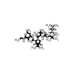 CCCC(NC(=O)[C@@H]1[C@@H]2[C@H](CN1C(=O)[C@@H](NC(=O)N[C@H](CN(C)S(=O)(=O)N(C)C)C(C)(C)C)C(C)(C)C)C2(C)C)C(=O)C(=O)NCC